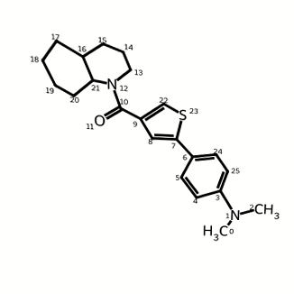 CN(C)c1ccc(-c2cc(C(=O)N3CCCC4CCCCC43)cs2)cc1